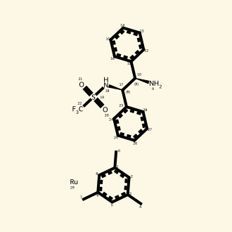 Cc1cc(C)cc(C)c1.N[C@H](c1ccccc1)[C@H](NS(=O)(=O)C(F)(F)F)c1ccccc1.[Ru]